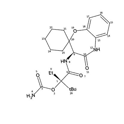 CC[C@@](OC(N)=O)(C(=O)N[C@@H]1C(=O)Nc2ccccc2OC12CCCCC2)C(C)(C)C